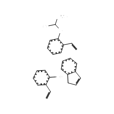 C1=Cc2ccccc2C1.C=Cc1ccccc1O.C=Cc1ccccc1OC(OC)C(C)C